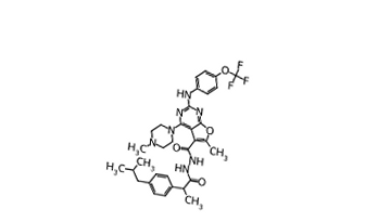 Cc1oc2nc(Nc3ccc(OC(F)(F)F)cc3)nc(N3CCN(C)CC3)c2c1C(=O)NNC(=O)C(C)c1ccc(CC(C)C)cc1